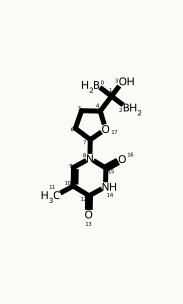 BC(B)(O)C1CCC(n2cc(C)c(=O)[nH]c2=O)O1